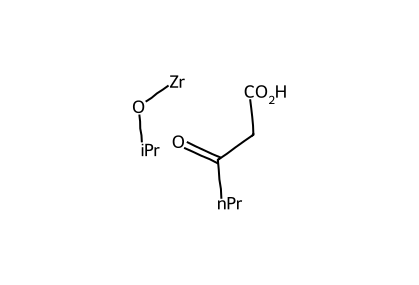 CC(C)[O][Zr].CCCC(=O)CC(=O)O